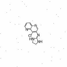 Clc1c(N=C2NCCN2)cnc2cccnc12